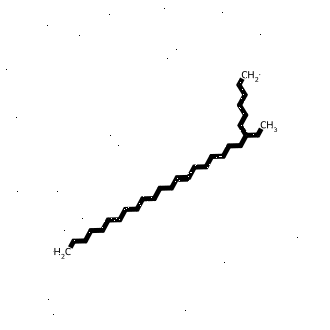 [CH2]CCCCCCCCCCCC/C=C/CCCCCCC(CC)CCCCC[CH2]